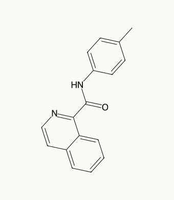 Cc1ccc(NC(=O)c2nccc3ccccc23)cc1